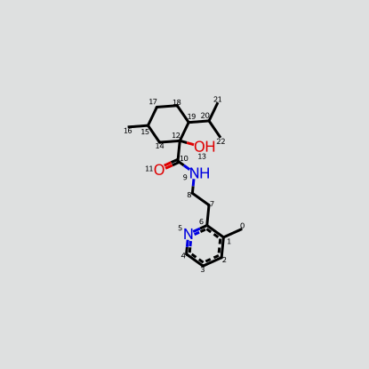 Cc1cccnc1CCNC(=O)C1(O)CC(C)CCC1C(C)C